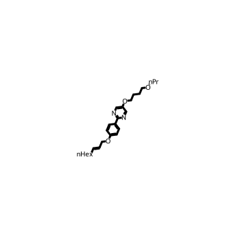 CCCCCCC=CCOc1ccc(-c2ncc(OCCCCOCCC)cn2)cc1